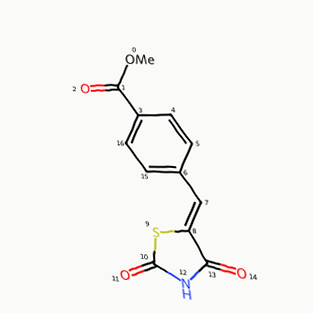 COC(=O)c1ccc(/C=C2\SC(=O)NC2=O)cc1